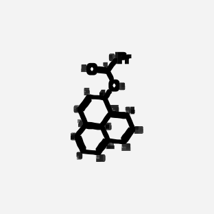 CC(C)C(=O)OC1C=Cc2cccc3cccc1c23